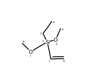 C=C[Si](CC)(OC)OC